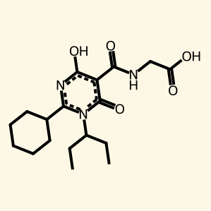 CCC(CC)n1c(C2CCCCC2)nc(O)c(C(=O)NCC(=O)O)c1=O